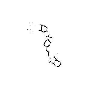 COc1ccc(NS(=O)(=O)c2ccc(/C=C/CN3C(=O)c4ccccc4C3=O)cc2)cc1OC